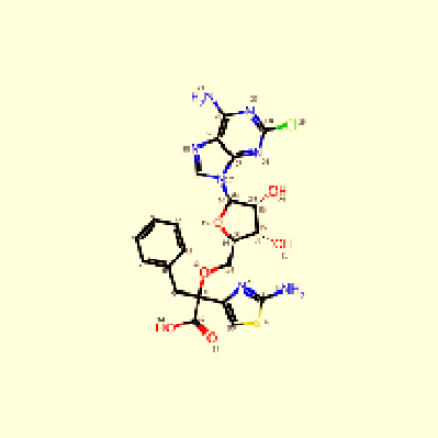 Nc1nc(C(Cc2ccccc2)(OC[C@H]2O[C@@H](n3cnc4c(N)nc(Cl)nc43)[C@H](O)[C@@H]2O)C(=O)O)cs1